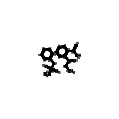 COC(=O)c1ccccc1C(=O)O.NS(=O)(=O)Cc1ccccc1